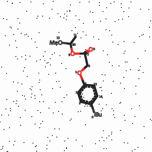 CCC(C)c1ccc(OCC(=O)OC(C)OC)cc1